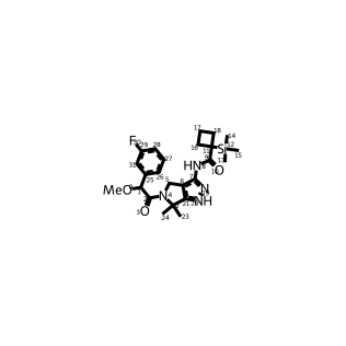 COC(C(=O)N1Cc2c(NC(=O)C3([Si](C)(C)C)CCC3)n[nH]c2C1(C)C)c1cccc(F)c1